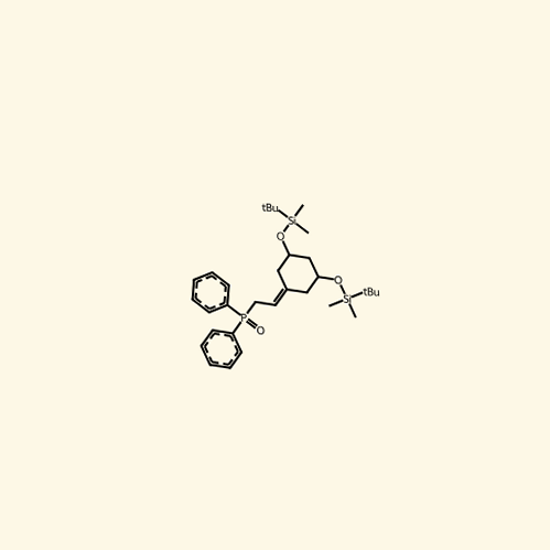 CC(C)(C)[Si](C)(C)OC1CC(=CCP(=O)(c2ccccc2)c2ccccc2)CC(O[Si](C)(C)C(C)(C)C)C1